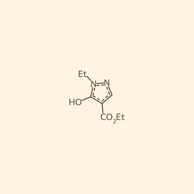 CCOC(=O)c1cnn(CC)c1O